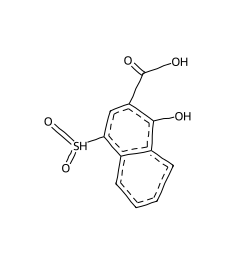 O=C(O)c1cc([SH](=O)=O)c2ccccc2c1O